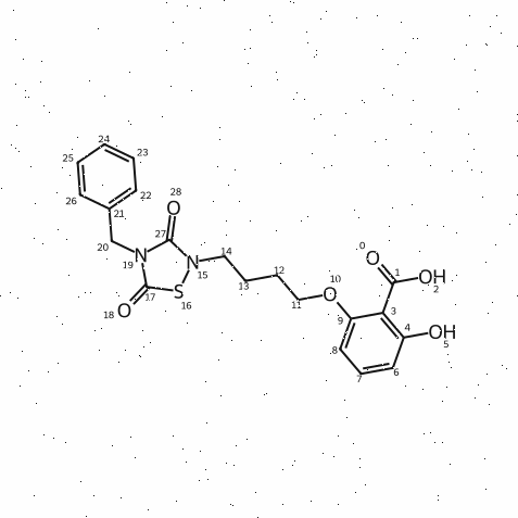 O=C(O)c1c(O)cccc1OCCCCn1sc(=O)n(Cc2ccccc2)c1=O